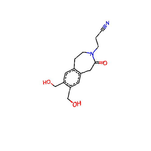 N#CCCN1CCc2cc(CO)c(CO)cc2CC1=O